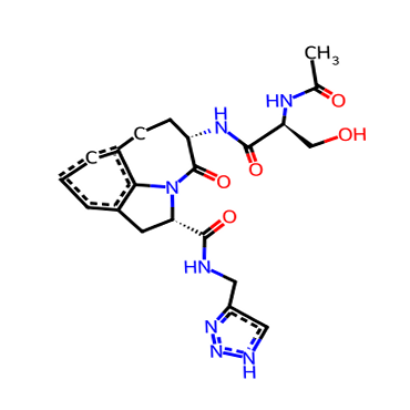 CC(=O)N[C@@H](CO)C(=O)N[C@H]1CCc2cccc3c2N(C1=O)[C@H](C(=O)NCc1c[nH]nn1)C3